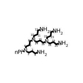 CCCN(CCCN)CCCN(CCCN)CCCN(CCCN)CCCN